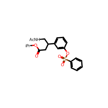 CC(=O)NCC(CC(=O)OC(C)C)c1cccc(OS(=O)(=O)c2ccccc2)c1